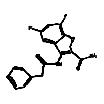 NC(=O)c1oc2c(F)cc(F)cc2c1NC(=O)Cc1ccccc1